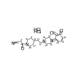 Cl.Cl.N#CCC(=O)N1CCC(CCN2CCN(c3cccc(Cl)c3Cl)CC2)CC1